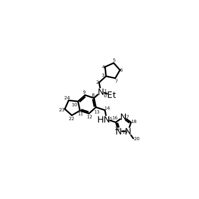 CCN(CC1CCCC1)c1cc2c(cc1CNc1ncn(C)n1)CCC2